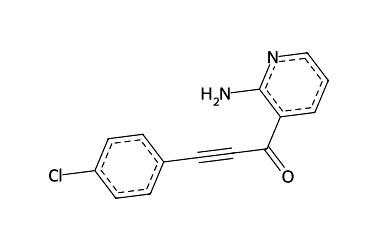 Nc1ncccc1C(=O)C#Cc1ccc(Cl)cc1